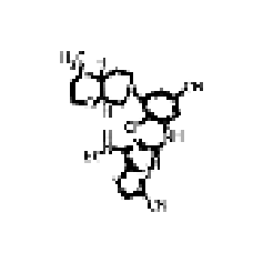 CCNc1nc(Nc2cc(C#N)cc(N3CC[C@@H]4[C@@H](C3)OCCN4C)c2Cl)nn2c(C#N)cnc12